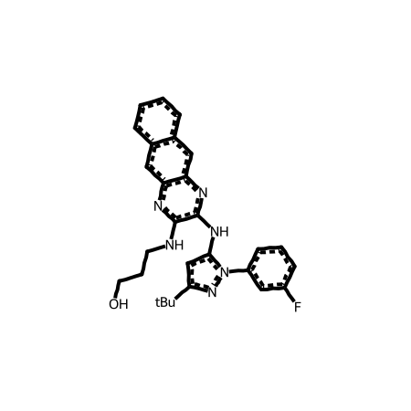 CC(C)(C)c1cc(Nc2nc3cc4ccccc4cc3nc2NCCCO)n(-c2cccc(F)c2)n1